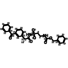 C[C@@H](C(=O)NS(=O)(=O)CCNC(=O)OCc1ccccc1)c1cccc(C(=O)c2ccccc2)c1